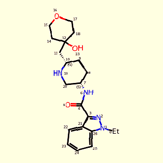 CCn1nc(C(=O)N[C@H]2CC[C@@H](CC3(O)CCOCC3)NC2)c2ccccc21